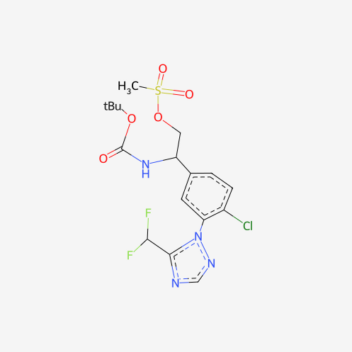 CC(C)(C)OC(=O)NC(COS(C)(=O)=O)c1ccc(Cl)c(-n2ncnc2C(F)F)c1